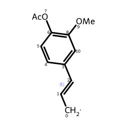 [CH2]/C=C/c1ccc(OC(C)=O)c(OC)c1